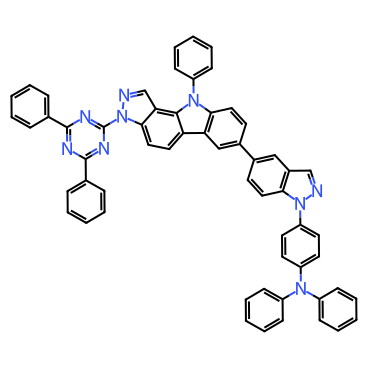 c1ccc(-c2nc(-c3ccccc3)nc(-n3ncc4c3ccc3c5cc(-c6ccc7c(cnn7-c7ccc(N(c8ccccc8)c8ccccc8)cc7)c6)ccc5n(-c5ccccc5)c34)n2)cc1